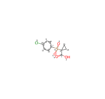 O=C(O)C1(S(=O)(=O)c2ccc(Cl)cc2)CC1